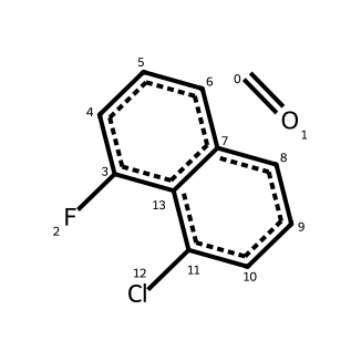 C=O.Fc1cccc2cccc(Cl)c12